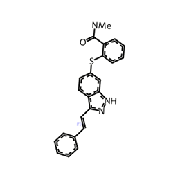 CNC(=O)c1ccccc1Sc1ccc2c(/C=C/c3ccccc3)n[nH]c2c1